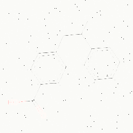 CC(Cc1ccc(C(=O)O)cc1)c1ccccc1